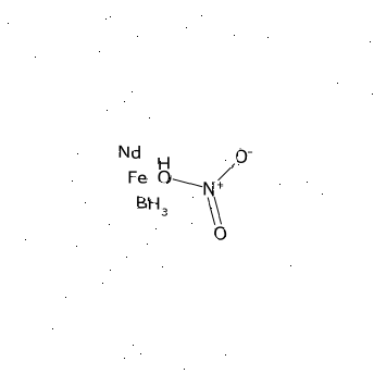 B.O=[N+]([O-])O.[Fe].[Nd]